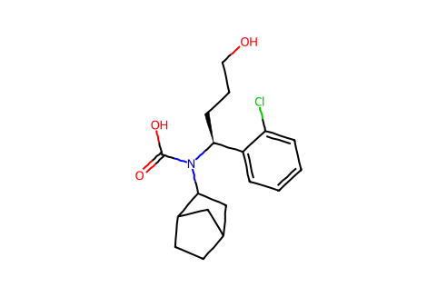 O=C(O)N(C1CC2CCC1C2)[C@@H](CCCO)c1ccccc1Cl